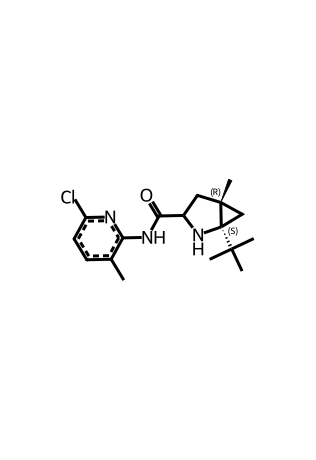 Cc1ccc(Cl)nc1NC(=O)C1C[C@]2(C)C[C@@]2(C(C)(C)C)N1